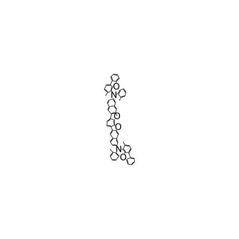 Cc1ccccc1N(c1ccc2cc3c(cc2c1)oc1c3ccc2c3cc4ccc(N(c5ccccc5C)c5c(C)ccc6c5oc5ccccc56)cc4cc3oc21)c1c(C)ccc2c1oc1ccccc12